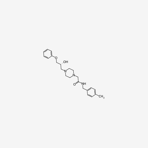 Cc1ccc(CNC(=O)CN2CCN(C[C@@H](O)COc3ccccc3)CC2)cc1